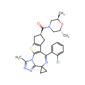 Cc1nnc2n1-c1sc3c(c1C(c1ccccc1Cl)=NC21CC1)C[C@H](C(=O)N1C[C@@H](C)O[C@H](C)C1)C3